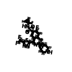 CC1(NS(=O)(=O)c2cc3c(-c4nnc(C(F)F)s4)nc(N4C5CCC4CNC5)nc3cc2F)CC1